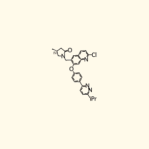 CC(C)c1ccc(-c2ccc(Oc3cc4nc(Cl)ccc4cc3CN3C[C@@H](C)CC3=O)cc2)nn1